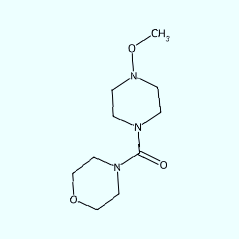 CON1CCN(C(=O)N2CCOCC2)CC1